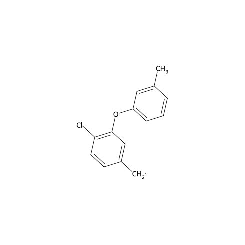 [CH2]c1ccc(Cl)c(Oc2cccc(C)c2)c1